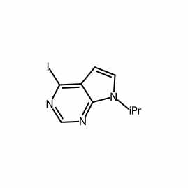 CC(C)n1ccc2c(I)ncnc21